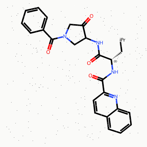 CC(C)C[C@H](NC(=O)c1ccc2ccccc2n1)C(=O)NC1CN(C(=O)c2ccccc2)CC1=O